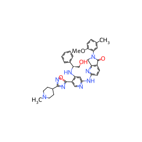 COc1ccc(C)cc1N1Cc2nc(Nc3cc(N[C@H](CO)c4ccccc4)c(-c4nc(C5CCN(C)CC5)no4)cn3)ccc2C1=O